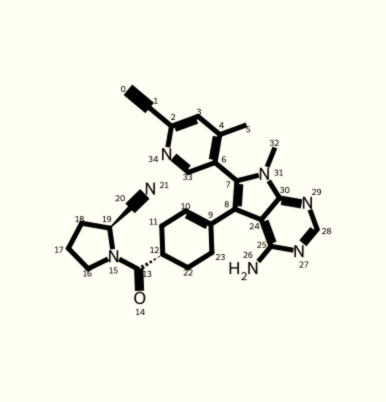 C#Cc1cc(C)c(-c2c(C3=CC[C@@H](C(=O)N4CCC[C@H]4C#N)CC3)c3c(N)ncnc3n2C)cn1